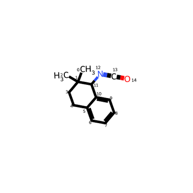 CC1(C)CCc2ccccc2C1N=C=O